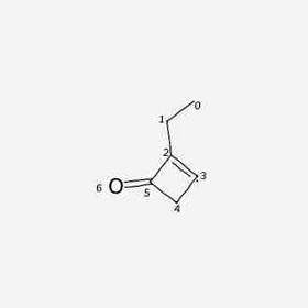 CCC1=[C]CC1=O